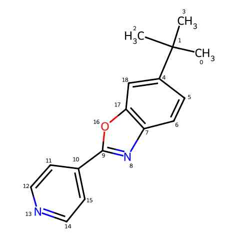 CC(C)(C)c1ccc2nc(-c3ccncc3)oc2c1